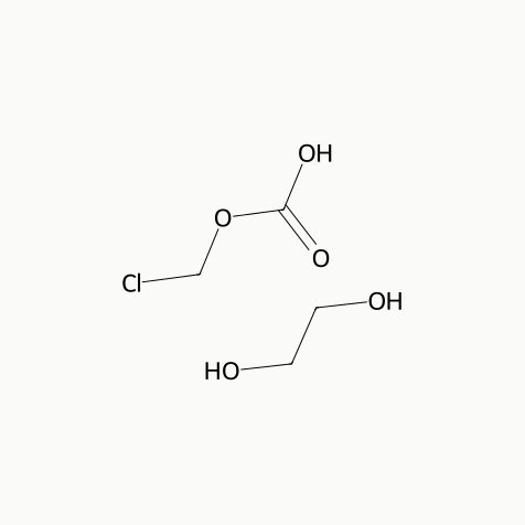 O=C(O)OCCl.OCCO